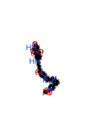 CC(C)(C)OC(=O)N1CCC(c2cccc3ncc(-c4cnn(C5CCN(C(=O)CCCCCNc6ccc7c(c6)C(=O)N(C6CCC(=O)NC6=O)C7=O)CC5)c4)nc23)CC1